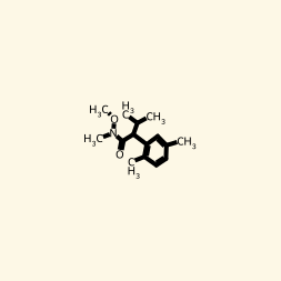 CON(C)C(=O)C(c1cc(C)ccc1C)C(C)C